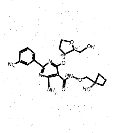 N#Cc1cccc(-c2nc(N)c(C(=O)NOCC3(O)CCC3)c(O[C@@H]3CCO[C@H]3CO)n2)c1